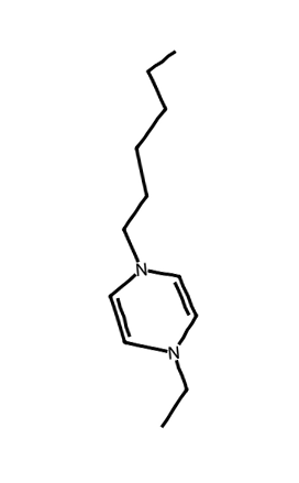 CCCCCCN1C=CN(CC)C=C1